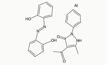 CC(=O)c1c(C)[nH]n(-c2ccccc2)c1=O.Oc1ccccc1N=Nc1ccccc1O.[Al]